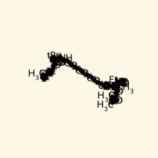 CCN(c1cc(-c2ccc(OCCOCCOCCOCCOCCOCCOCC(=O)NC(C(=O)N3CCC[C@H]3C(=O)CCc3ccc(C4=C(C)C=CC4)cc3)C(C)(C)C)cc2)cc(C(=O)CCC2=C(C)C=C(C)CC2=O)c1C)C1CCOCC1